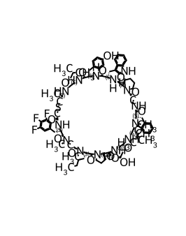 CCCC[C@H]1C(=O)N2CCC[C@@H]2C(=O)N[C@@H](CC(=O)O)C(=O)N[C@@H](C(C)(C)C)C(=O)N(C)[C@@H](Cc2ccccc2)C(=O)NCC(=O)N2CCCC[C@@H]2C(=O)N[C@@H](Cc2c[nH]c3ccccc23)C(=O)N[C@@H](Cc2ccc(O)cc2)C(=O)N[C@@H](CC(C)C)C(=O)N[C@H](C)CSCC(=O)N[C@@H](Cc2cc(F)c(F)c(F)c2)C(=O)N(C)CC(=O)N1C